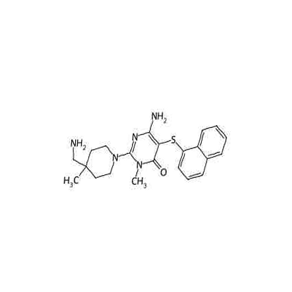 Cn1c(N2CCC(C)(CN)CC2)nc(N)c(Sc2cccc3ccccc23)c1=O